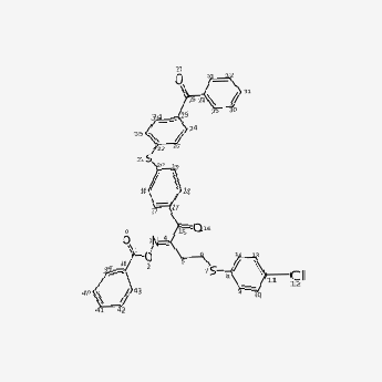 O=C(O/N=C(\CCSc1ccc(Cl)cc1)C(=O)c1ccc(Sc2ccc(C(=O)c3ccccc3)cc2)cc1)c1ccccc1